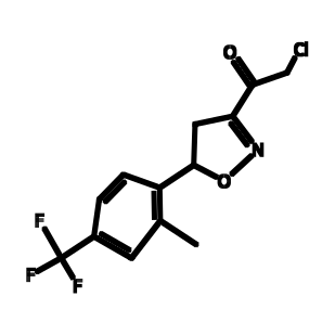 Cc1cc(C(F)(F)F)ccc1C1CC(C(=O)CCl)=NO1